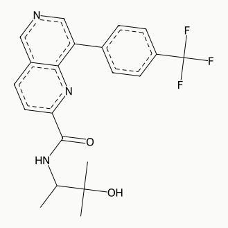 CC(NC(=O)c1ccc2cncc(-c3ccc(C(F)(F)F)cc3)c2n1)C(C)(C)O